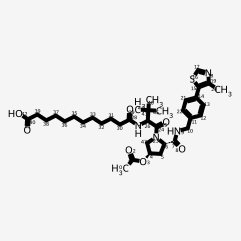 CC(=O)O[C@@H]1C[C@@H](C(=O)NCc2ccc(-c3scnc3C)cc2)N(C(=O)C(NC(=O)CCCCCCCCCCC(=O)O)C(C)(C)C)C1